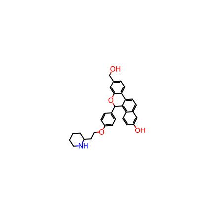 OCc1ccc2c(c1)OC(c1ccc(OCCC3CCCCN3)cc1)c1c-2ccc2cc(O)ccc12